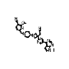 COc1nc(CN2CCC(N3CC(CC#N)(n4cc(-c5ncnc6[nH]ccc56)cn4)C3)CC2)ccc1C#N